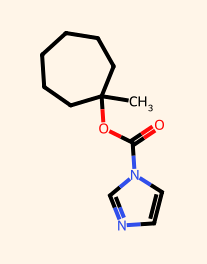 CC1(OC(=O)n2ccnc2)CCCCCC1